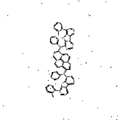 CC1=C=C=CC=C1c1cccc2c1Cc1c-2cccc1N(c1ccccc1)c1ccc2ccc3c(N(c4ccccc4)c4cccc5c4oc4c(-c6ccccc6C)cccc45)ccc4ccc1c2c43